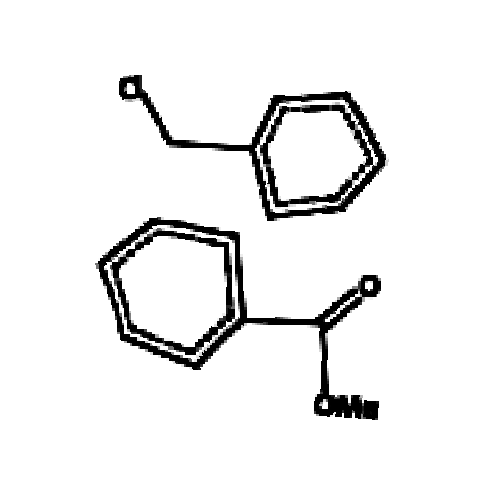 COC(=O)c1ccccc1.ClCc1ccccc1